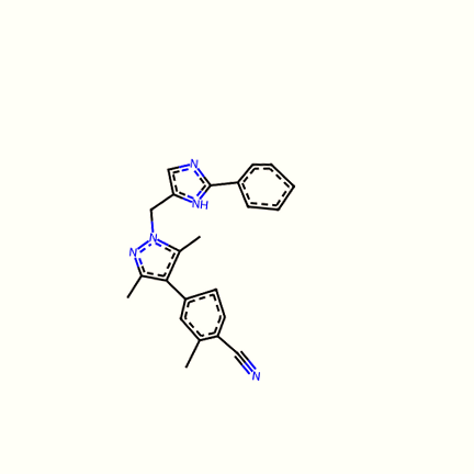 Cc1cc(-c2c(C)nn(Cc3cnc(-c4ccccc4)[nH]3)c2C)ccc1C#N